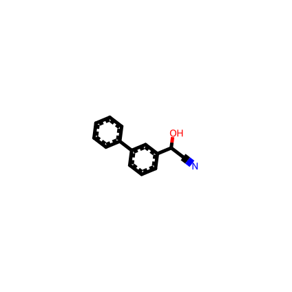 N#CC(O)c1cccc(-c2ccccc2)c1